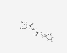 CC(C)CC(C)C(=O)NCC(=P)CCc1ccccc1